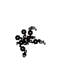 COc1ccc(COCC2(COCc3ccc(OC)cc3)OC(O)(c3ccc(F)c(Cc4ccc(OC5COC5)cc4)c3)C(OCc3ccccc3)[C@@H](OCc3ccccc3)[C@@H]2OB=N)cc1